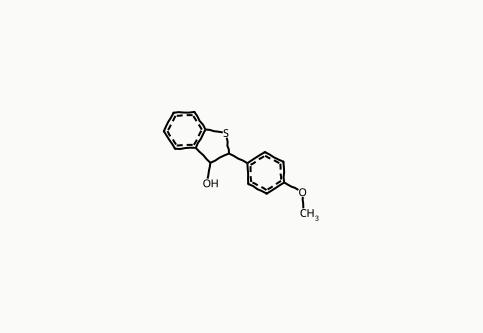 COc1ccc(C2Sc3ccccc3C2O)cc1